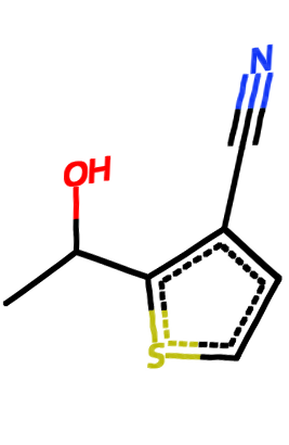 CC(O)c1sccc1C#N